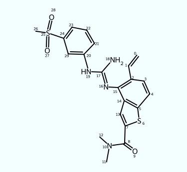 C=Cc1ccc2sc(C(=O)N(C)C)cc2c1/N=C(\N)Nc1cccc(S(C)(=O)=O)c1